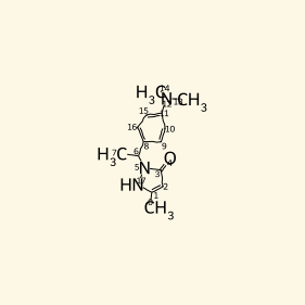 Cc1cc(=O)n(C(C)c2ccc(N(C)C)cc2)[nH]1